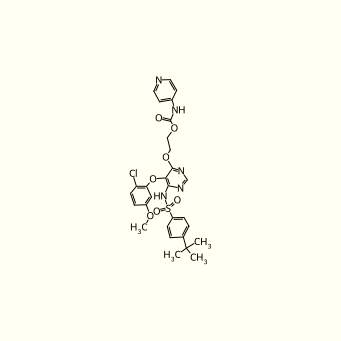 COc1ccc(Cl)c(Oc2c(NS(=O)(=O)c3ccc(C(C)(C)C)cc3)ncnc2OCCOC(=O)Nc2ccncc2)c1